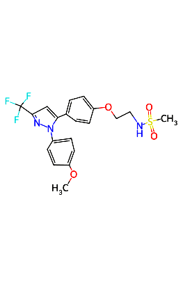 COc1ccc(-n2nc(C(F)(F)F)cc2-c2ccc(OCCNS(C)(=O)=O)cc2)cc1